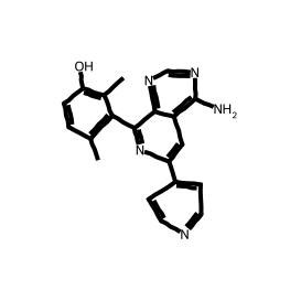 Cc1ccc(O)c(C)c1-c1nc(-c2ccncc2)cc2c(N)ncnc12